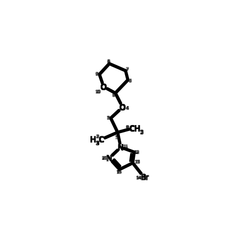 CC(C)(COC1CCCCO1)n1cc(Br)cn1